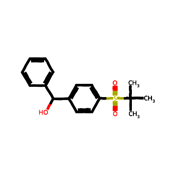 CC(C)(C)S(=O)(=O)c1ccc(C(O)c2ccccc2)cc1